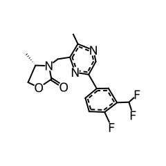 Cc1ncc(-c2ccc(F)c(C(F)F)c2)nc1CN1C(=O)OC[C@@H]1C